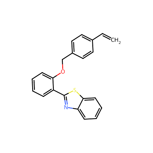 C=Cc1ccc(COc2ccccc2-c2nc3ccccc3s2)cc1